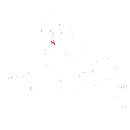 CC1(C)CCC(CN2CC3CCC(C2)N3C(=O)c2cc3c(cc2F)C(=O)N(C2CCC(=O)NC2=O)C3)=C(c2ccc(Cl)cc2)C1